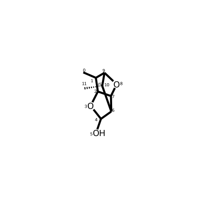 CC1C2OC(O)C3C2OC1[C@H]3C